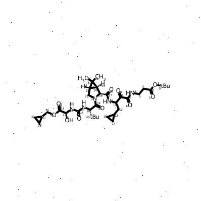 CC(C)(C)OC(=O)CCNC(=O)C(=O)C(CC1CC1)NC(=O)[C@@H]1[C@@H]2[C@H](CN1C(=O)[C@@H](NC(=O)N[C@@H](O)C(=O)OCC1CC1)C(C)(C)C)C2(C)C